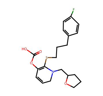 O=C(O)OC1=C(SCCCc2ccc(F)cc2)N(CC2CCCO2)CC=C1